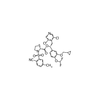 Cc1ccc(C#N)c(S(=O)(=O)N2CCS[C@H]2C(=O)O[C@@H](Cc2c(Cl)cncc2Cl)c2ccc(OC(F)F)c(OCC3CC3)c2)c1